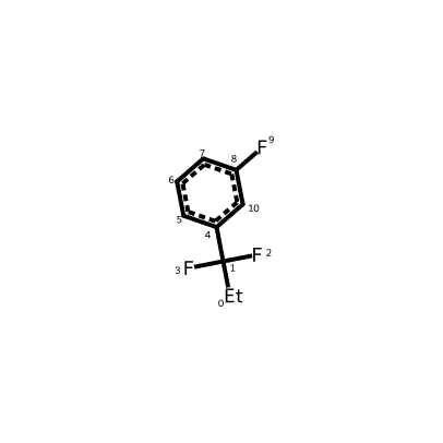 CCC(F)(F)c1cccc(F)c1